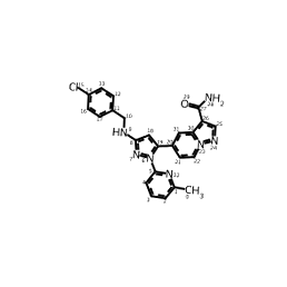 Cc1cccc(-n2nc(NCc3ccc(Cl)cc3)cc2-c2ccn3ncc(C(N)=O)c3c2)n1